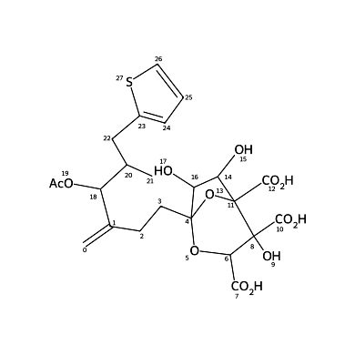 C=C(CCC12OC(C(=O)O)C(O)(C(=O)O)C(C(=O)O)(O1)C(O)C2O)C(OC(C)=O)C(C)Cc1cccs1